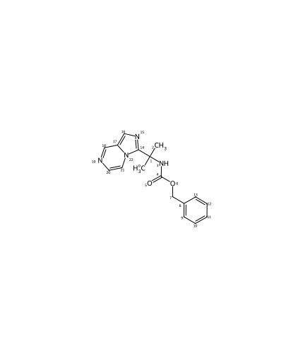 CC(C)(NC(=O)OCc1ccccc1)c1ncc2cnccn12